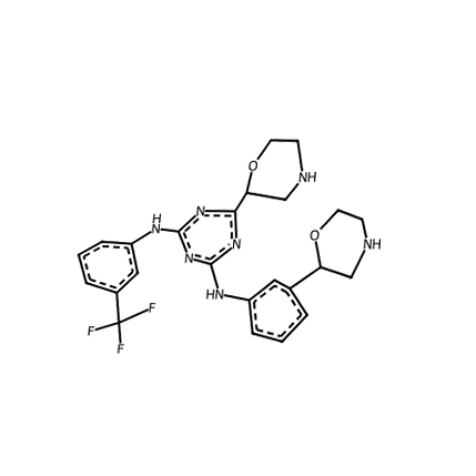 FC(F)(F)c1cccc(Nc2nc(Nc3cccc(C4CNCCO4)c3)nc(C3CNCCO3)n2)c1